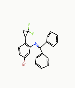 FC1(F)CC1c1ccc(Br)cc1N=C(c1ccccc1)c1ccccc1